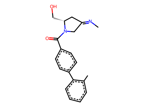 C/N=C1/C[C@@H](CO)N(C(=O)c2ccc(-c3ccccc3C)cc2)C1